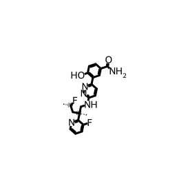 C[C@H](F)C[C@@](C)(CNc1ccc(-c2cc(C(N)=O)ccc2O)nn1)c1ncccc1F